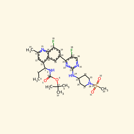 CCC(NC(=O)OC(C)(C)C)c1cc(C)nc2c(F)cc(-c3nc(NC4CCN(S(C)(=O)=O)CC4)ncc3F)cc12